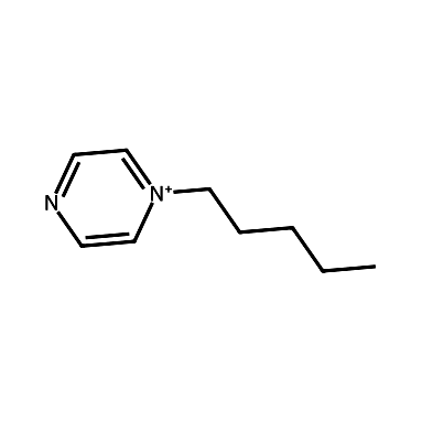 CCCCC[n+]1ccncc1